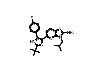 CC(C)Cn1c(N)nc2ccc(-c3nc(C(C)(C)C)[nH]c3-c3ccc(F)cc3)nc21